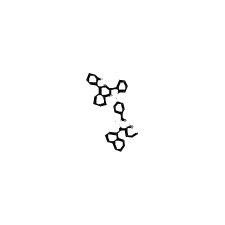 c1ccc2c(-c3nc(-c4ccc(-n5c6ccccc6c6c7sc8ccccc8c7c7ccccc7c65)cc4)nc4ncccc34)cccc2c1